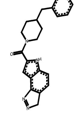 O=C(c1cc2c3c(ccc2[nH]1)CN=N3)N1CCC(Cc2ccccc2)CC1